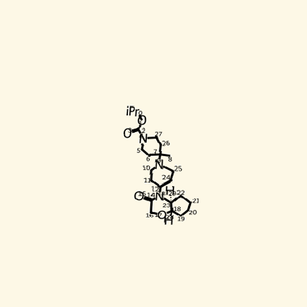 CC(C)OC(=O)N1CCC(C)(N2CCC(N3C(=O)CO[C@H]4CCCC[C@@H]43)CC2)CC1